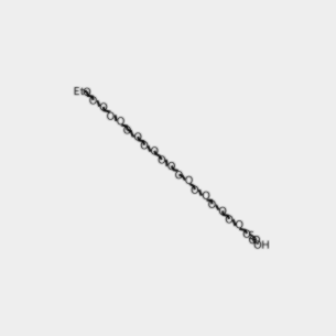 CCOCCOCCOCCOCCOCCOCCOCCOCCOCCOCCOCCOCCOCCOCCOCCOCCOCCOCCOCCOSOOO